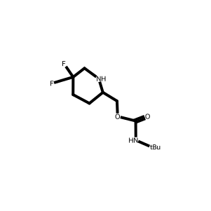 CC(C)(C)NC(=O)OCC1CCC(F)(F)CN1